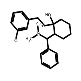 CN(C)C(c1ccccc1)C1CCCCC1(O)CCc1cccc(Cl)c1